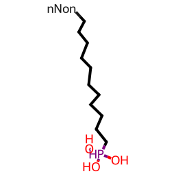 CCCCCCCCCCCCCCCCCCCC[PH](O)(O)O